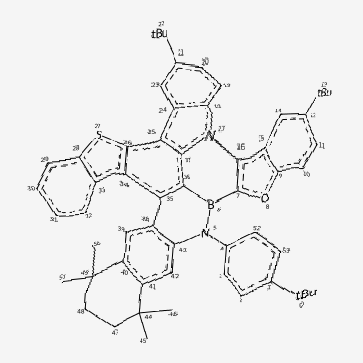 CC(C)(C)c1ccc(N2B3c4oc5ccc(C(C)(C)C)cc5c4-n4c5ccc(C(C)(C)C)cc5c5c6sc7ccccc7c6c(c3c54)-c3cc4c(cc32)C(C)(C)CCC4(C)C)cc1